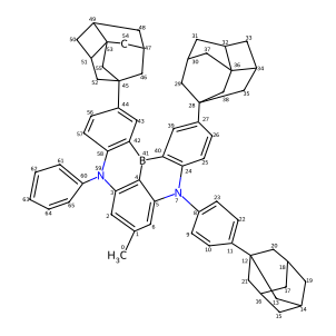 Cc1cc2c3c(c1)N(c1ccc(C45CC6CC(CC(C6)C4)C5)cc1)c1ccc(C45CC6CC7CC(C4)C7(C6)C5)cc1B3c1cc(C34CC5CC6CC(C3)C6(C5)C4)ccc1N2c1ccccc1